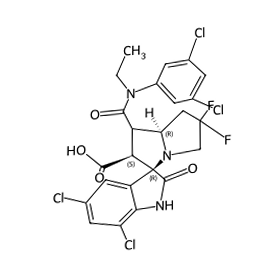 CCN(C(=O)C1[C@H]2CC(F)(F)CN2[C@]2(C(=O)Nc3c(Cl)cc(Cl)cc32)[C@H]1C(=O)O)c1cc(Cl)cc(Cl)c1